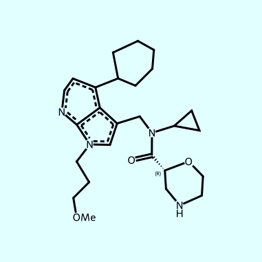 COCCCn1cc(CN(C(=O)[C@H]2CNCCO2)C2CC2)c2c(C3CCCCC3)ccnc21